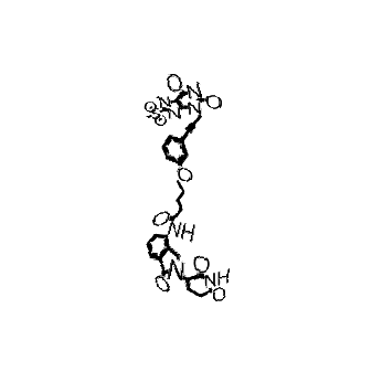 Cn1c(=O)c2c(nc(S(C)(=O)=O)n2C)n(CC#Cc2cccc(OCCCCC(=O)Nc3cccc4c3CN(C3CCC(=O)NC3=O)C4=O)c2)c1=O